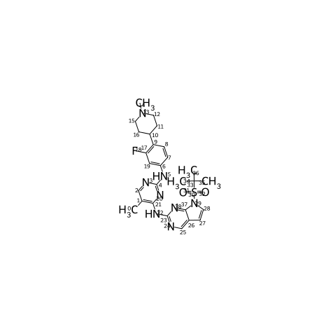 Cc1cnc(Nc2ccc(C3CCN(C)CC3)c(F)c2)nc1Nc1ncc2ccn(S(=O)(=O)C(C)(C)C)c2n1